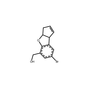 OCc1cc(Br)cc2c1OC1CC=CC21